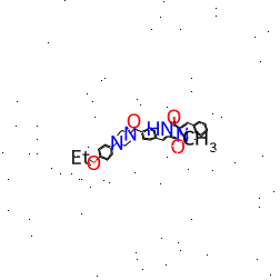 CCOc1ccc(N2CCN(C(=O)c3ccc(/C=c4\[nH]c(=O)/c(=C/c5ccccc5)n(C)c4=O)cc3)CC2)cc1